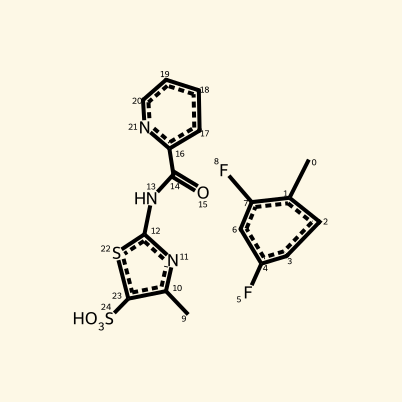 Cc1ccc(F)cc1F.Cc1nc(NC(=O)c2ccccn2)sc1S(=O)(=O)O